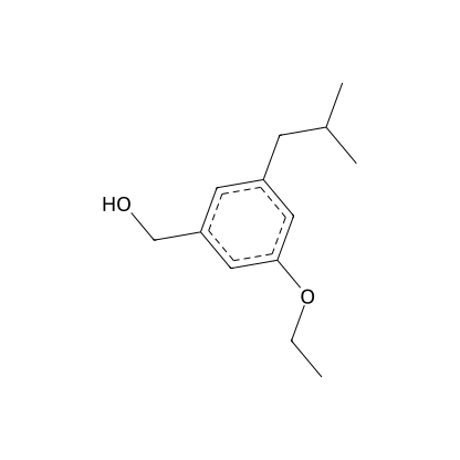 CCOc1cc(CO)cc(CC(C)C)c1